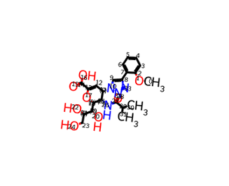 COc1ccccc1-c1cn([C@H]2C=C(C(=O)O)O[C@@H]([C@H](O)[C@H](O)CO)[C@@H]2NC(=O)C(C)C)nn1